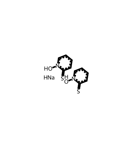 On1ccccc1=S.On1ccccc1=S.[NaH]